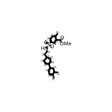 COC(=O)c1cc(S(=O)(=O)NCCc2ccc(-c3ccc(F)c(C)c3)cc2)ccc1C